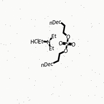 CCCCCCCCCCCCOS(=O)(=O)OCCCCCCCCCCCC.CCN(CC)CC.Cl